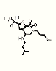 CSCCCN1CC(NCCC(C)C)c2cc(S(N)(=O)=O)sc2S1(=O)=O